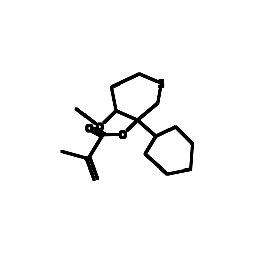 C=C(C)C(=O)OC1(C2CCCCC2)CSCCC1OC